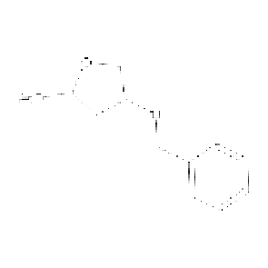 CC(=O)OC1CC(OCc2ccccc2)CO1